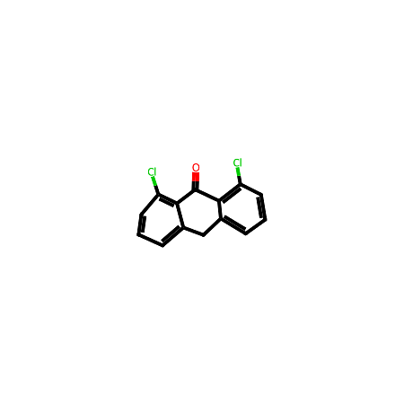 O=C1c2c(Cl)cccc2Cc2cccc(Cl)c21